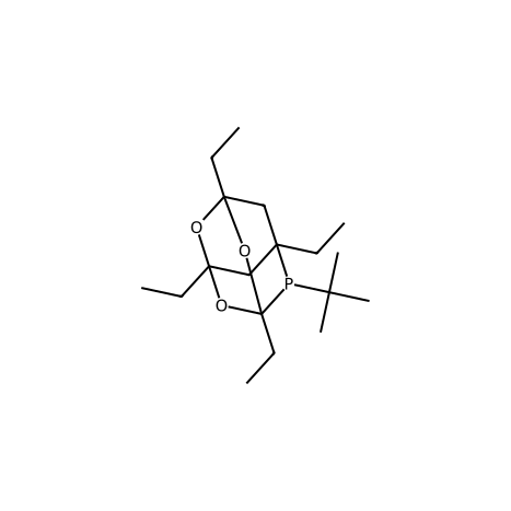 CCC12CC3(CC)CC(CC)(O1)OC(CC)(O2)P3C(C)(C)C